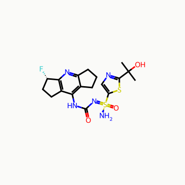 CC(C)(O)c1ncc([S@](N)(=O)=NC(=O)Nc2c3c(nc4c2CC[C@@H]4F)CCC3)s1